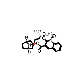 CCOC(=O)CCCN1[C@@H]2CC[C@H]1C[C@@H](OC(=O)c1cc3ccccc3n(C(C)C)c1=O)C2.Cl